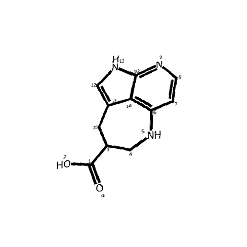 O=C(O)C1CNc2ccnc3[nH]cc(c23)C1